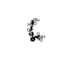 CC(C)(C)OC(=O)NCCCC(=O)N1CCN(c2ccccc2/C=C2\SC(=O)NC2=O)CC1